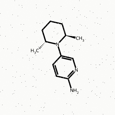 C[C@@H]1CCC[C@@H](C)N1c1ccc(N)nc1